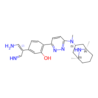 CN(c1ccc(-c2ccc(/C(C=N)=C/N)cc2O)nn1)[C@H]1C[C@]2(C)CCC[C@](C)(C1)N2